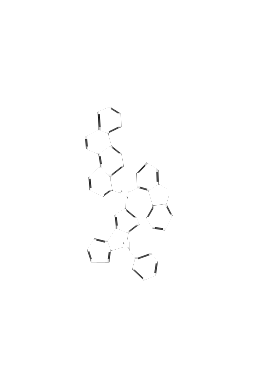 c1ccc(-n2c3ccccc3c3cc(N(c4cccc5c4ccc4c6ccccc6ccc54)c4cccc5oc6ccccc6c45)ccc32)cc1